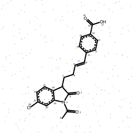 CC(=O)N1C(=O)C(CC/C=C/c2ccc(C(=O)O)cc2)c2ccc(Cl)cc21